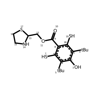 CC(C)(C)c1c(O)c(C(C)(C)C)c(S)c(C(=O)OCC2NCCS2)c1S